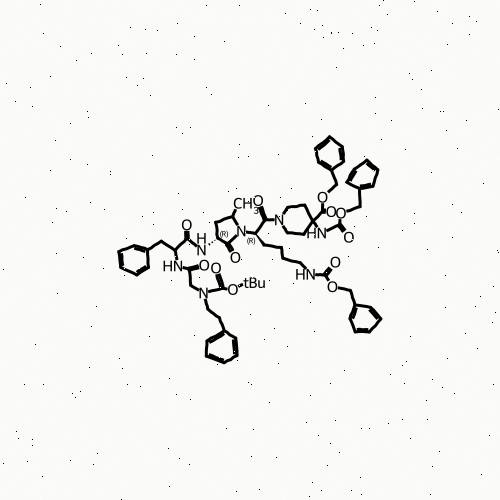 CC1C[C@@H](NC(=O)C(Cc2ccccc2)NC(=O)CN(CCc2ccccc2)C(=O)OC(C)(C)C)C(=O)N1[C@H](CCCCNC(=O)OCc1ccccc1)C(=O)N1CCC(NC(=O)OCc2ccccc2)(C(=O)OCc2ccccc2)CC1